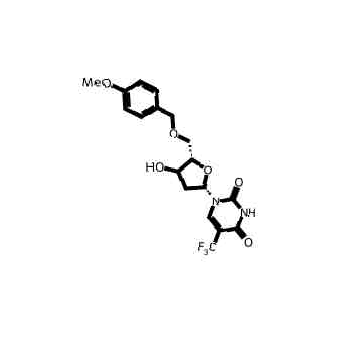 COc1ccc(COC[C@@H]2O[C@H](n3cc(C(F)(F)F)c(=O)[nH]c3=O)CC2O)cc1